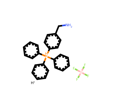 F[B-](F)(F)F.NCc1ccc([PH](c2ccccc2)(c2ccccc2)c2ccccc2)cc1.[H+]